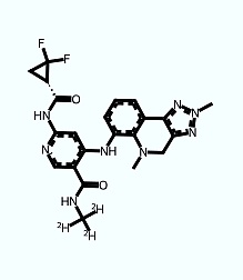 [2H]C([2H])([2H])NC(=O)c1cnc(NC(=O)[C@@H]2CC2(F)F)cc1Nc1cccc2c1N(C)Cc1nn(C)nc1-2